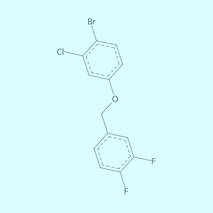 Fc1ccc(COc2ccc(Br)c(Cl)c2)cc1F